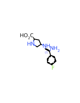 N/C(=C\NC1CNC(C(=O)O)C1)c1ccc(F)cc1